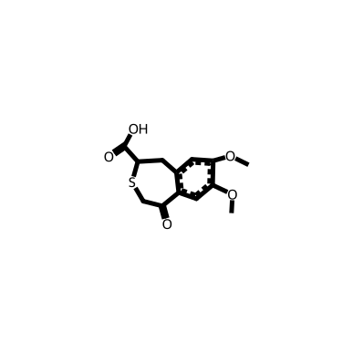 COc1cc2c(cc1OC)C(=O)CSC(C(=O)O)C2